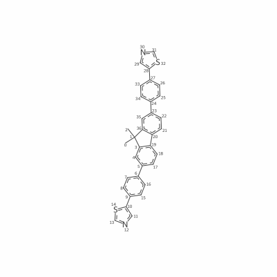 CC1(C)c2cc(-c3ccc(-c4cncs4)cc3)ccc2-c2ccc(-c3ccc(-c4cncs4)cc3)cc21